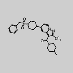 CC1CCN(C(=O)c2c(C(F)(F)F)nn3ccc(C4CCN(S(=O)(=O)Cc5ccccc5)CC4)cc23)CC1